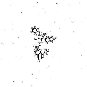 CCCN(CCCNc1ncc(C#N)c(NC2COC2)n1)N(C(=O)NCc1ccccc1)c1ccc2nn(C)cc2n1